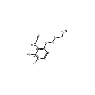 N#CCCCCc1ccc(F)c(F)c1OF